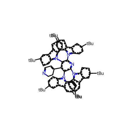 CC(C)(C)c1c#cc2c(c1)c1cc(C(C)(C)C)ccc1n2-c1c(-n2c3ccc(C(C)(C)C)cc3c3cc(C(C)(C)C)ccc32)nc(-n2c3ccc(C(C)(C)C)cc3c3cc(C(C)(C)C)ccc32)c(-n2c3ccc(C(C)(C)C)cc3c3cc(C(C)(C)C)ccc32)c1C1=CC=NCC1